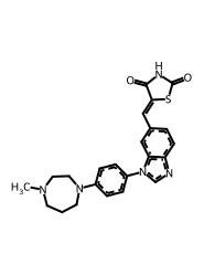 CN1CCCN(c2ccc(-n3cnc4ccc(/C=C5\SC(=O)NC5=O)cc43)cc2)CC1